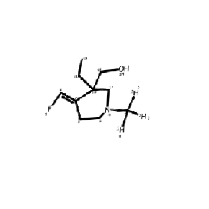 [2H]C([2H])([2H])N1CC/C(=C\F)C(CC)(CO)C1